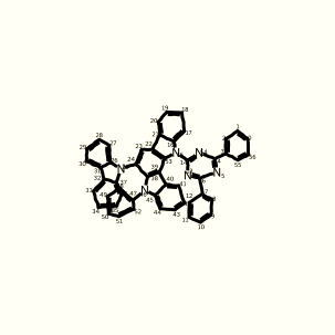 c1ccc(-c2nc(-c3ccccc3)nc(-n3c4ccccc4c4cc(-n5c6ccccc6c6ccccc65)c5c(c6ccccc6n5-c5ccccc5)c43)n2)cc1